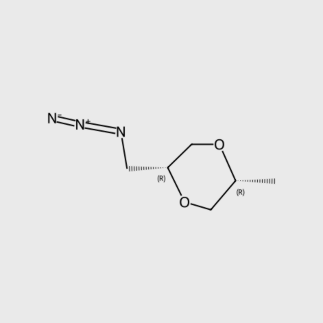 C[C@@H]1CO[C@H](CN=[N+]=[N-])CO1